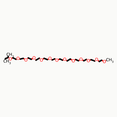 CCC(C)OCCOCCOCCOCCOCCOCCOCCOCCOCCOCCOCCOCCOC